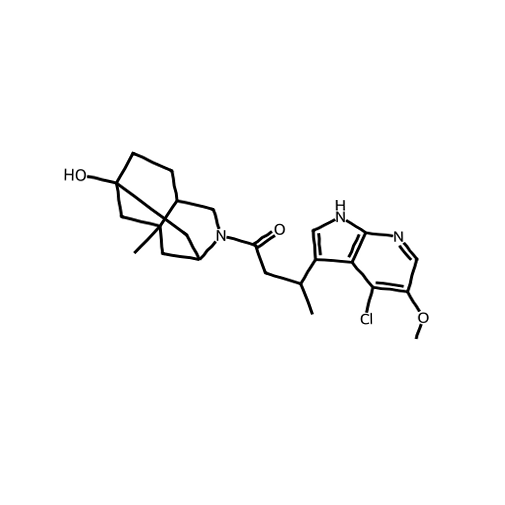 COc1cnc2[nH]cc(C(C)CC(=O)N3CC4CCC5(O)CC3CC4(C)C5)c2c1Cl